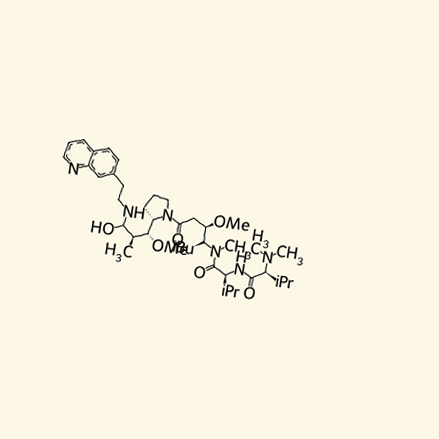 CC[C@H](C)C([C@@H](CC(=O)N1CCC[C@H]1[C@H](OC)[C@@H](C)C(O)NCCc1ccc2cccnc2c1)OC)N(C)C(=O)[C@@H](NC(=O)[C@H](C(C)C)N(C)C)C(C)C